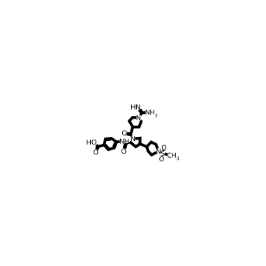 CS(=O)(=O)N1CCC(C2C[C@@H](C(=O)Nc3ccc(C(=O)O)cc3)N(C(=O)C3CCN(C(=N)N)CC3)C2)CC1